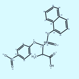 CC(C(=O)O)N(Oc1ccc([N+](=O)[O-])cc1)[PH](=O)Oc1cccc2ccccc12